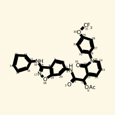 CC(=O)OC(C(=O)Nc1ccc2c(Nc3ccccc3)noc2c1)c1cccn(-c2ccc(OC(F)(F)F)cc2)c1=O